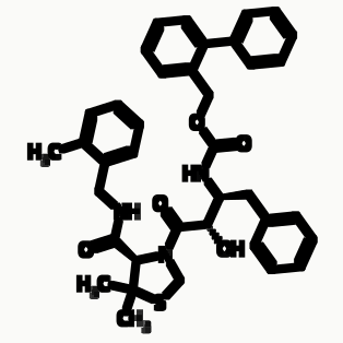 Cc1ccccc1CNC(=O)[C@H]1N(C(=O)[C@@H](O)[C@H](Cc2ccccc2)NC(=O)OCc2ccccc2-c2ccccc2)CSC1(C)C